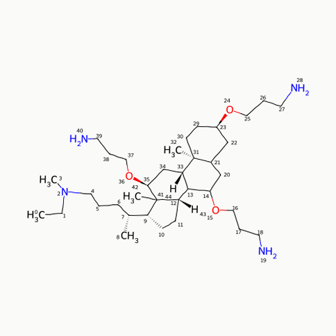 CCN(C)CCC[C@@H](C)[C@H]1CC[C@H]2C3C(OCCCN)CC4C[C@H](OCCCN)CC[C@]4(C)[C@H]3C[C@H](OCCCN)C12C